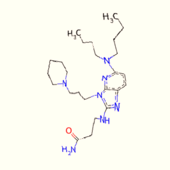 CCCCN(CCCC)c1ccc2nc(NCCC(N)=O)n(CCCN3CCCCC3)c2n1